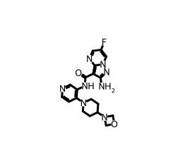 Nc1nn2cc(F)cnc2c1C(=O)Nc1cnccc1N1CCC(N2COC2)CC1